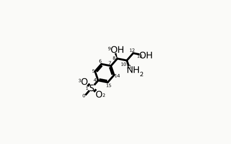 CS(=O)(=O)c1ccc([C@@H](O)C(N)CO)cc1